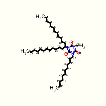 CCCCCCCCCCCCC(CCCCCCCCCCCC)n1c(=O)n(C)c(=O)n(CCCCCCCCCCCC)c1=O